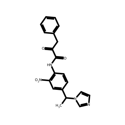 CC(c1ccc(NC(=O)C(=O)Cc2ccccc2)c([N+](=O)[O-])c1)n1ccnc1